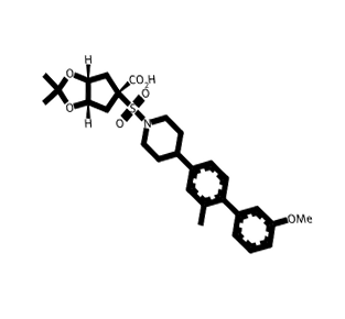 COc1cccc(-c2ccc(C3CCN(S(=O)(=O)[C@]4(C(=O)O)C[C@@H]5OC(C)(C)O[C@@H]5C4)CC3)cc2C)c1